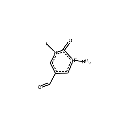 N[n+]1cc(C=O)cn(I)c1=O